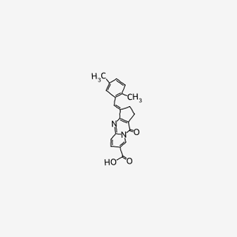 Cc1ccc(C)c(C=C2CCc3c2nc2ccc(C(=O)O)cn2c3=O)c1